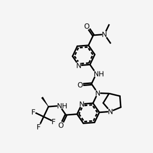 C[C@@H](NC(=O)c1ccc2c(n1)N(C(=O)Nc1cc(C(=O)N(C)C)ccn1)C1CCN2C1)C(F)(F)F